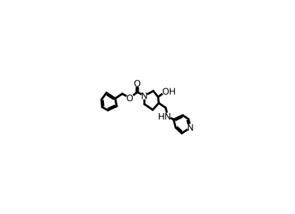 O=C(OCc1ccccc1)N1CCC(CNc2ccncc2)C(O)C1